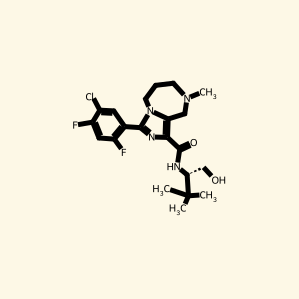 CN1CCCn2c(-c3cc(Cl)c(F)cc3F)nc(C(=O)N[C@H](CO)C(C)(C)C)c2C1